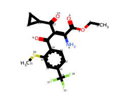 CCOC(=O)C(N)=C(C(=O)c1ccc(C(F)(F)F)cc1SC)C(=O)C1CC1